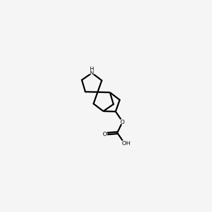 O=C(O)OC1CC2CC1CC21CCNC1